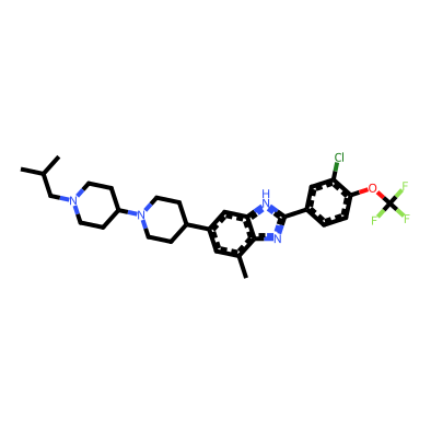 Cc1cc(C2CCN(C3CCN(CC(C)C)CC3)CC2)cc2[nH]c(-c3ccc(OC(F)(F)F)c(Cl)c3)nc12